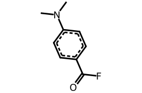 CN(C)c1ccc(C(=O)F)cc1